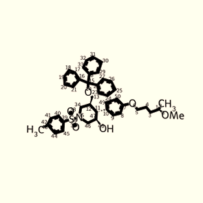 CO[C@H](C)CCCOc1ccc([C@H]2[C@H](COC(c3ccccc3)(c3ccccc3)c3ccccc3)CN(S(=O)(=O)c3ccc(C)cc3)C[C@@H]2O)cc1